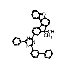 CC1(C)c2cc(-c3nc(-c4ccccc4)nc(-c4cccc(-c5ccccc5)c4)n3)ccc2-c2c1ccc1oc3ccccc3c21